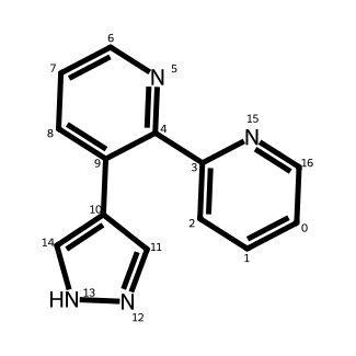 c1ccc(-c2ncccc2-c2cn[nH]c2)nc1